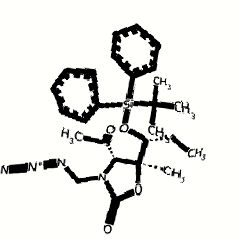 CC[C@@H](O[Si](c1ccccc1)(c1ccccc1)C(C)(C)C)[C@@]1(C)OC(=O)N(CN=[N+]=[N-])[C@@H]1C(C)=O